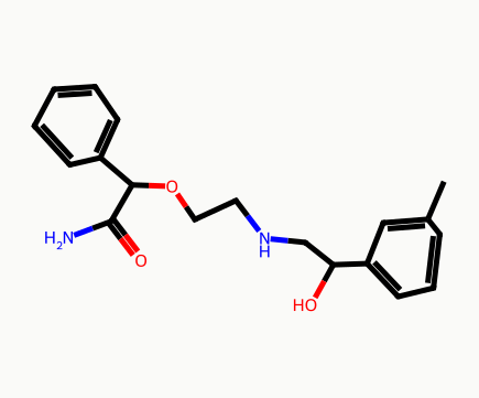 Cc1cccc(C(O)CNCCOC(C(N)=O)c2ccccc2)c1